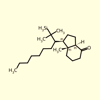 CCCCCCCC([C@H]1CC[C@H]2C(=O)CCC[C@]12C)C(C)(C)[SiH3]